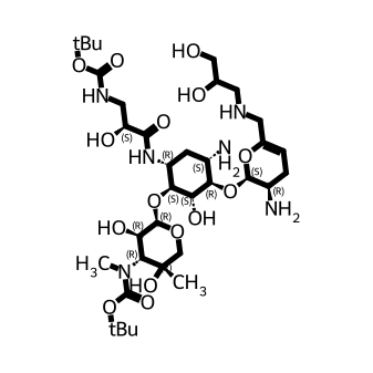 CN(C(=O)OC(C)(C)C)[C@@H]1[C@@H](O)[C@@H](O[C@@H]2[C@@H](O)[C@H](O[C@H]3OC(CNCC(O)CO)=CC[C@H]3N)[C@@H](N)C[C@H]2NC(=O)[C@@H](O)CNC(=O)OC(C)(C)C)OC[C@]1(C)O